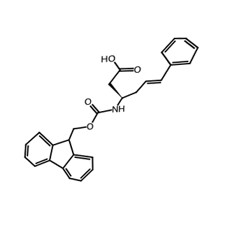 O=C(O)C[C@@H](C/C=C/c1ccccc1)NC(=O)OCC1c2ccccc2-c2ccccc21